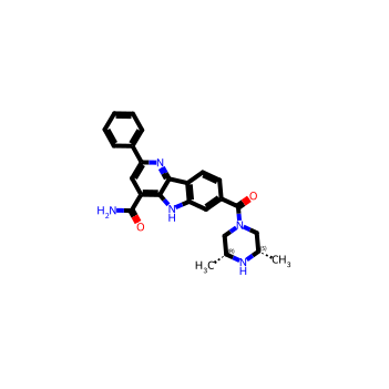 C[C@@H]1CN(C(=O)c2ccc3c(c2)[nH]c2c(C(N)=O)cc(-c4ccccc4)nc23)C[C@H](C)N1